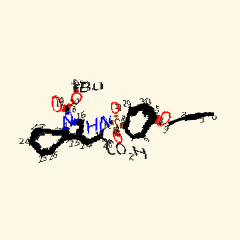 CC#CCOc1ccc(S(=O)(=O)N[C@@H](Cc2cn(C(=O)OC(C)(C)C)c3ccccc23)C(=O)O)cc1